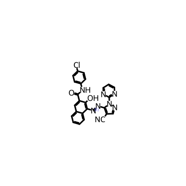 N#Cc1cnn(-c2ncccn2)c1/N=N/c1c(O)c(C(=O)Nc2ccc(Cl)cc2)cc2ccccc12